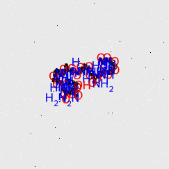 CC(=O)N(C)C(C)(C)C(=O)N[C@@H](C)C(=O)N[C@@H](C)C(=O)N[C@@H](C)C(=O)NC(C)(C)C(=O)NC(C)(C)C(=O)N[C@@H](CCC(N)=O)C(=O)NC(C)(C)C(=O)N[C@H](C(=O)NC(C)(C)C(=O)NCC(=O)N[C@@H](CC(C)C)C(=O)NC(C)(C)C(=O)N1CCC[C@H]1C(=O)N[C@H](C(=O)NC(C)(C)C(=O)NC(C)(C)C(=O)N[C@@H](CCC(N)=O)C(=O)N[C@@H](CCC(N)=O)C(=O)N[C@H](CO)Cc1ccccc1)C(C)C)C(C)C